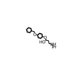 CC(C)NCCC(O)Oc1ccc(OCc2ccccc2)cc1